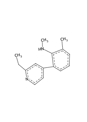 CCc1cc(-c2cccc(C)c2NC)ccn1